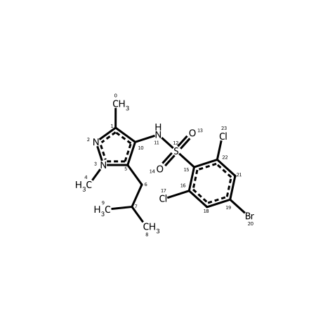 Cc1nn(C)c(CC(C)C)c1NS(=O)(=O)c1c(Cl)cc(Br)cc1Cl